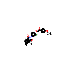 COc1ccc(C(=O)COc2ccc(N3C(=O)[C@@H]4[C@@H]5C=C[C@@H]([C@H]6C[C@@H]56)[C@@H]4C3=O)cc2F)cc1